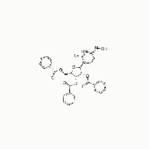 O=C(OC[C@H]1O[C@@H](n2ccc(=NO)[nH]c2=O)[C@H](OC(=O)c2ccccc2)[C@@H]1OC(=O)c1ccccc1)c1ccccc1